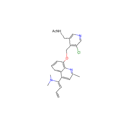 C=C/C=C(/c1cc(C)nc2c(OCc3c(Cl)cncc3CNC(C)=O)cccc12)N(C)C